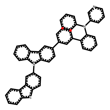 c1ccc(N(c2cccnc2)c2ccccc2-c2cccc(-c3ccc4c(c3)c3ccccc3n4-c3ccc4sc5ccccc5c4c3)c2)cc1